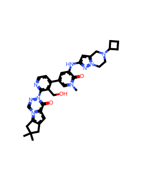 Cn1cc(-c2ccnc(-n3ncn4c5c(cc4c3=O)CC(C)(C)C5)c2CO)cc(Nc2cc3n(n2)CCN(C2CCC2)C3)c1=O